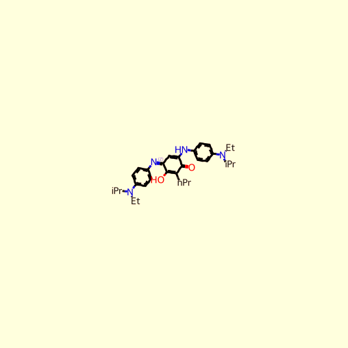 CCCC1=C(O)/C(=N\c2ccc(N(CC)C(C)C)cc2)C=C(Nc2ccc(N(CC)C(C)C)cc2)C1=O